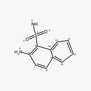 [NH]S(=O)(=O)c1c(N)ccc2ccccc12